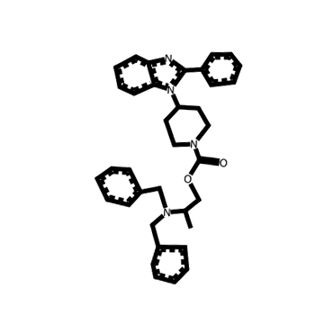 CC(COC(=O)N1CCC(n2c(-c3ccccc3)nc3ccccc32)CC1)N(Cc1ccccc1)Cc1ccccc1